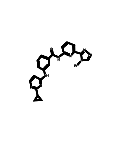 CC(C)n1cnnc1-c1cccc(NC(=O)c2cccc(Nc3ccnc(C4CC4)n3)c2)n1